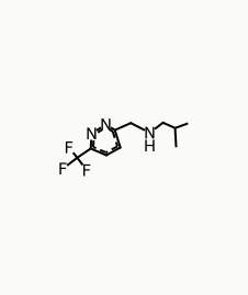 CC(C)CNCc1ccc(C(F)(F)F)nn1